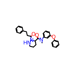 CN(C(=O)C1CCCNN1C(=O)CCc1ccccc1)c1cccc(Oc2ccccc2)c1